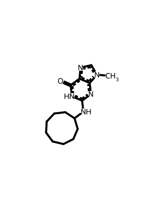 Cn1cnc2c(=O)[nH]c(NC3CCCCCCCC3)nc21